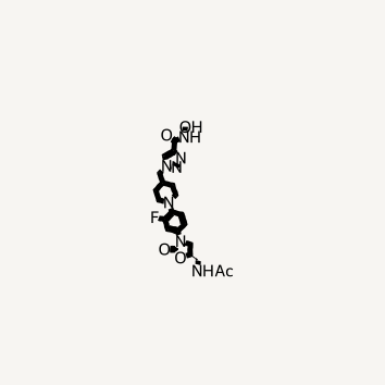 CC(=O)NC[C@H]1CN(c2ccc(N3CCC(Cn4cc(C(=O)NO)nn4)CC3)c(F)c2)C(=O)O1